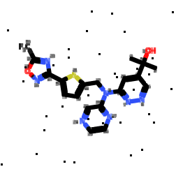 CC(C)(O)c1cnnc(N(Cc2ccc(-c3noc(C(F)(F)F)n3)s2)c2cnccn2)c1